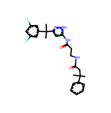 CC(C)(CC(=O)NCCC(=O)Nc1cc(C(C)(C)c2cc(F)cc(F)c2)n[nH]1)c1ccccc1